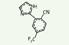 N#Cc1ccc(C(F)(F)F)cc1-c1ncc[nH]1